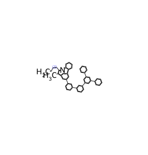 C=C/C=C\c1c(C)c2cc(-c3cccc(-c4cccc(-c5cc(-c6ccccc6)cc(-c6ccccc6)c5)c4)c3)cc3c4ccccc4n1c23